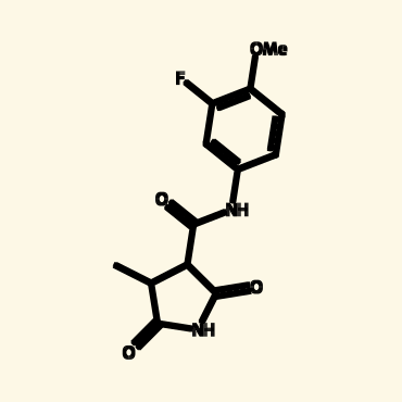 COc1ccc(NC(=O)C2C(=O)NC(=O)C2C)cc1F